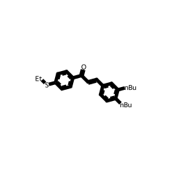 CCCCc1ccc(/C=C/C(=O)c2ccc(SCC)cc2)cc1CCCC